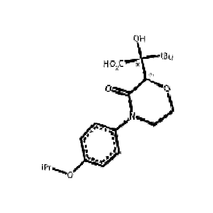 CC(C)Oc1ccc(N2CCO[C@H]([C@@](O)(C(=O)O)C(C)(C)C)C2=O)cc1